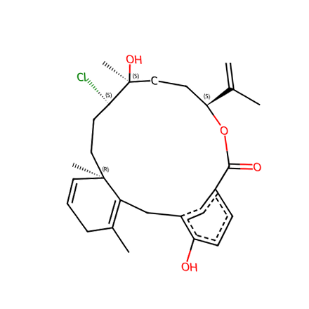 C=C(C)[C@@H]1CC[C@](C)(O)[C@@H](Cl)CC[C@]2(C)C=CCC(C)=C2Cc2cc(ccc2O)C(=O)O1